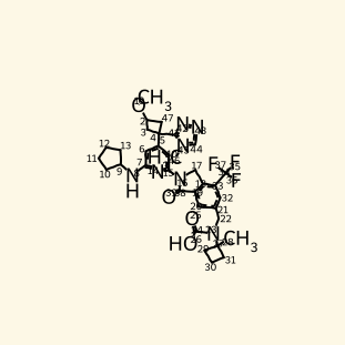 COC1CC(c2cc(NC3CCCC3)nc(N3Cc4c(cc(CN(C(=O)O)C5(C)CCC5)cc4C(F)(F)F)C3=O)c2)(c2nncn2C)C1